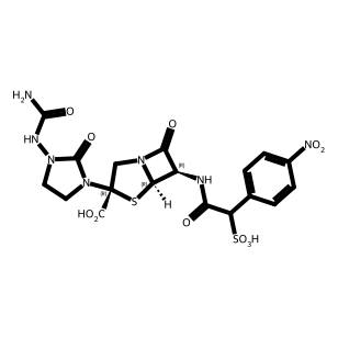 NC(=O)NN1CCN([C@]2(C(=O)O)CN3C(=O)[C@@H](NC(=O)C(c4ccc([N+](=O)[O-])cc4)S(=O)(=O)O)[C@H]3S2)C1=O